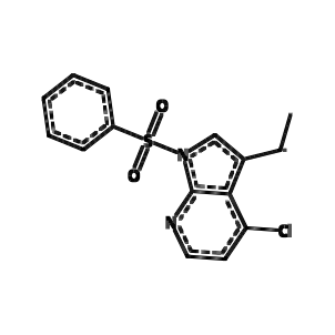 C[CH]c1cn(S(=O)(=O)c2ccccc2)c2nccc(Cl)c12